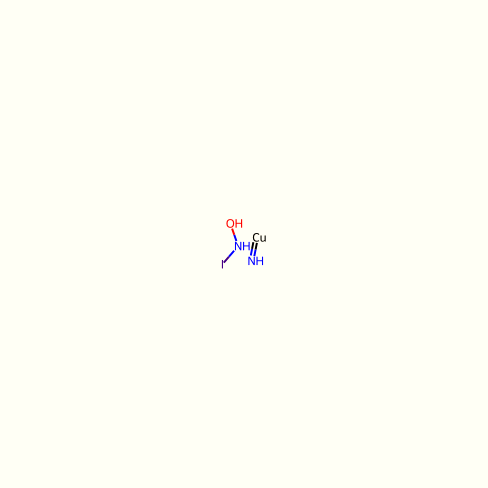 ONI.[NH]=[Cu]